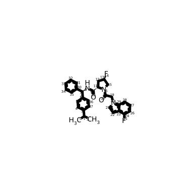 CC(C)c1ccc([C@@H](NC(=O)[C@@H]2C[C@@H](F)CN2C(=O)Cn2ccc3c(F)cccc32)c2ccccc2)cc1